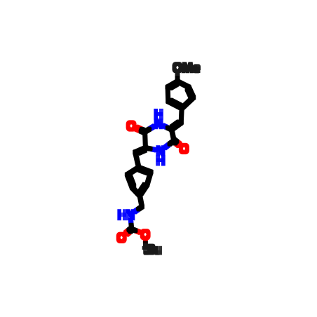 COc1ccc(C=c2[nH]c(=O)c(=Cc3ccc(CNC(=O)OC(C)(C)C)cc3)[nH]c2=O)cc1